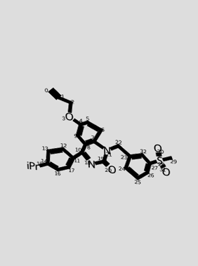 C#CCOc1ccc2c(c1)c(-c1ccc(C(C)C)cc1)nc(=O)n2Cc1cccc(S(C)(=O)=O)c1